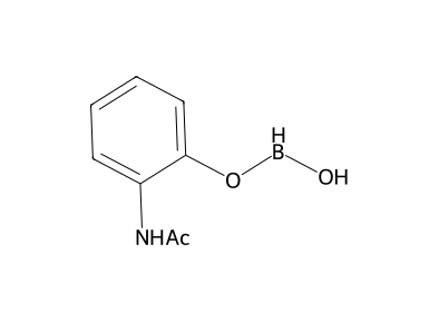 CC(=O)Nc1ccccc1OBO